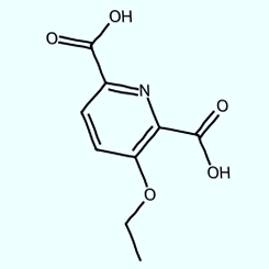 CCOc1ccc(C(=O)O)nc1C(=O)O